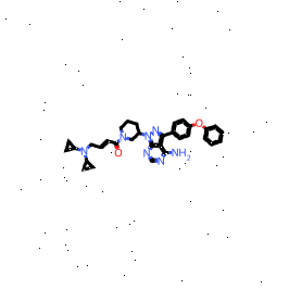 Nc1ncnc2c1c(-c1ccc(Oc3ccccc3)cc1)nn2C1CCCN(C(=O)C=CCN(C2CC2)C2CC2)C1